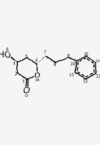 O=C1C[C@@H](O)C[C@H](CCCc2ccccc2)O1